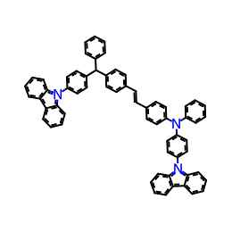 C(=C\c1ccc(N(c2ccccc2)c2ccc(-n3c4ccccc4c4ccccc43)cc2)cc1)/c1ccc(C(c2ccccc2)c2ccc(-n3c4ccccc4c4ccccc43)cc2)cc1